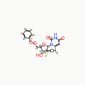 C[C@]1(F)C(n2ccc(=O)[nH]c2=O)O[C@H](COOc2ccccc2)[C@H]1O